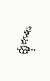 COc1ccc2ncc(=O)n(C[C@H](O)[C@@H]3CC[C@@H](NCc4cc5c(cn4)OCCO5)CO3)c2n1